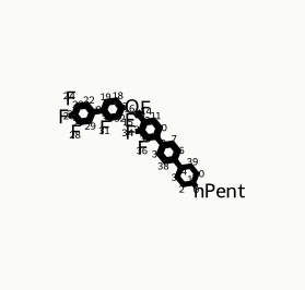 CCCCCC1CCC(c2ccc(-c3ccc(C(F)(F)Oc4ccc(-c5cc(F)c(F)c(F)c5)c(F)c4)c(F)c3F)cc2)CC1